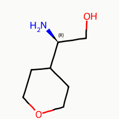 N[C@@H](CO)C1CCOCC1